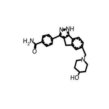 NC(=O)c1ccc(-c2n[nH]c3c2Cc2cc(CN4CCC(O)CC4)ccc2-3)cc1